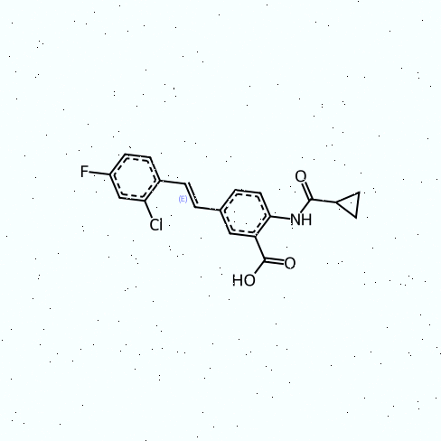 O=C(O)c1cc(/C=C/c2ccc(F)cc2Cl)ccc1NC(=O)C1CC1